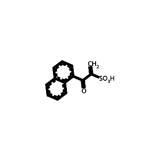 C=C(C(=O)c1cccc2ccccc12)S(=O)(=O)O